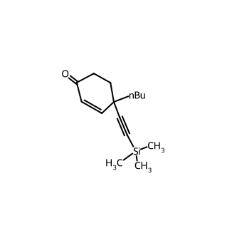 CCCCC1(C#C[Si](C)(C)C)C=CC(=O)CC1